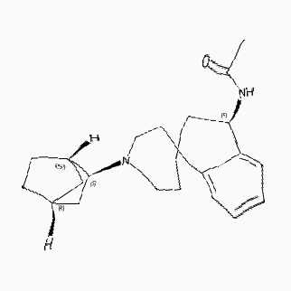 CC(=O)N[C@@H]1CC2(CCN([C@H]3C[C@@H]4CC[C@H]3C4)CC2)c2ccccc21